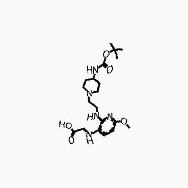 COc1ccc(NCC(=O)O)c(NCCN2CCC(NC(=O)OC(C)(C)C)CC2)n1